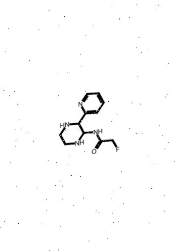 O=C(CF)NC1NCCNC1c1ccccn1